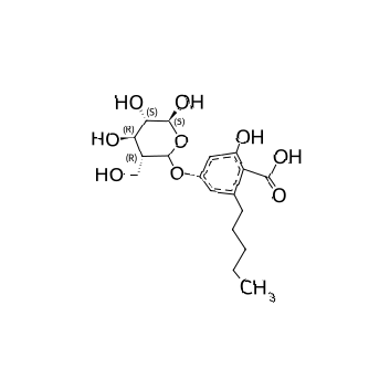 CCCCCc1cc(OC2O[C@H](O)[C@@H](O)[C@H](O)[C@H]2CO)cc(O)c1C(=O)O